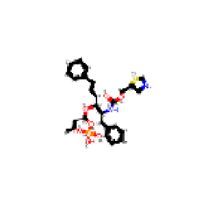 CCC[C@@H](O[C@@H](C[CH]Cc1ccccc1)[C@H](Cc1ccccc1)NC(=O)OCc1cncs1)OP(=O)(O)O